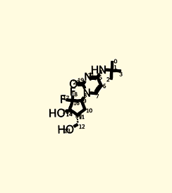 CC(C)(C)Nc1ccn(C2C[C@H](CO)[C@@H](O)C2(F)F)c(=O)n1